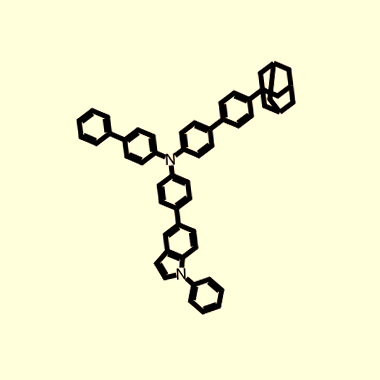 c1ccc(-c2ccc(N(c3ccc(-c4ccc(C56CC7CC(CC(C7)C5)C6)cc4)cc3)c3ccc(-c4ccc5c(ccn5-c5ccccc5)c4)cc3)cc2)cc1